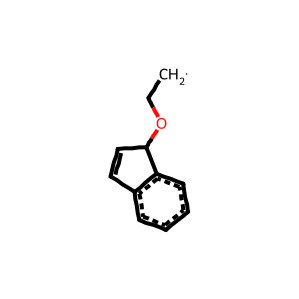 [CH2]COC1C=Cc2ccccc21